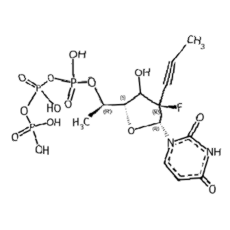 CC#C[C@@]1(F)C(O)[C@@H]([C@@H](C)OP(=O)(O)OP(=O)(O)OP(=O)(O)O)O[C@H]1n1ccc(=O)[nH]c1=O